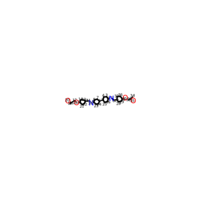 C(=Nc1ccc(-c2ccc(N=Cc3ccc(OCC4CO4)cc3)cc2)cc1)c1ccc(OCC2CO2)cc1